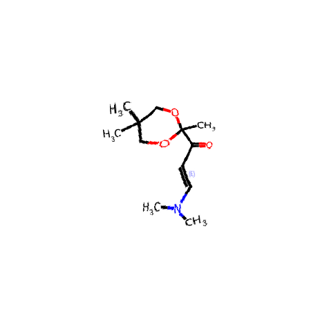 CN(C)/C=C/C(=O)C1(C)OCC(C)(C)CO1